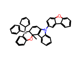 CC12OC3=C(C=C=C=C3)[Si](c3ccccc3)(C3C=CC=CC3)C1C=Cc1c2c2ccccc2n1-c1ccc2oc3ccccc3c2c1